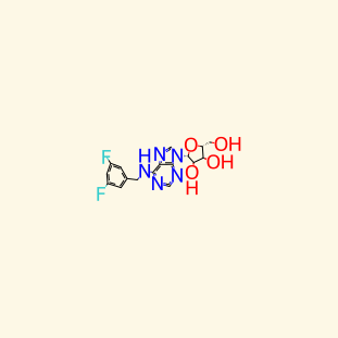 OC[C@H]1O[C@@H](n2cnc3c(NCc4cc(F)cc(F)c4)ncnc32)[C@H](O)[C@@H]1O